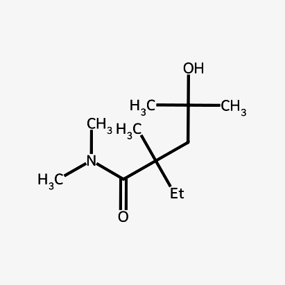 CCC(C)(CC(C)(C)O)C(=O)N(C)C